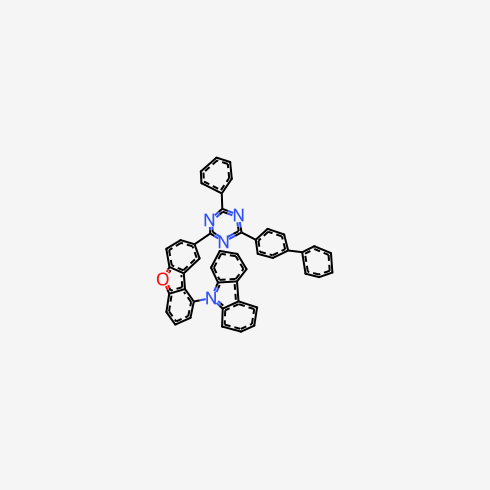 c1ccc(-c2ccc(-c3nc(-c4ccccc4)nc(-c4ccc5oc6cccc(-n7c8ccccc8c8ccccc87)c6c5c4)n3)cc2)cc1